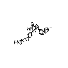 CC(C)(O)COc1ccc(-c2nc3c(ccn3-c3ccc[n+]([O-])c3)c(=O)[nH]2)cc1